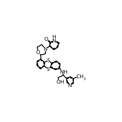 Cc1cncc(C(CO)Nc2ccc3c(c2)Sc2cccc(C4CN(c5ccc[nH]c5=O)CCO4)c2S3)c1